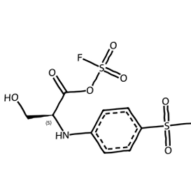 CS(=O)(=O)c1ccc(N[C@@H](CO)C(=O)OS(=O)(=O)F)cc1